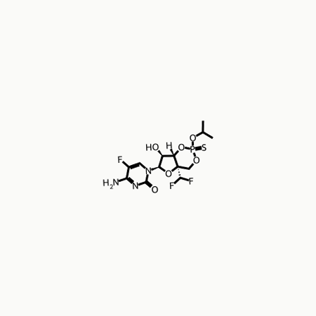 CC(C)OP1(=S)OC[C@@]2(C(F)F)O[C@@H](n3cc(F)c(N)nc3=O)[C@@H](O)[C@@H]2O1